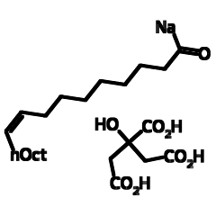 CCCCCCCC/C=C\CCCCCCC[C](=O)[Na].O=C(O)CC(O)(CC(=O)O)C(=O)O